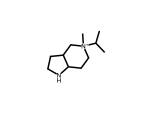 CC(C)[N+]1(C)CCC2NCCC2C1